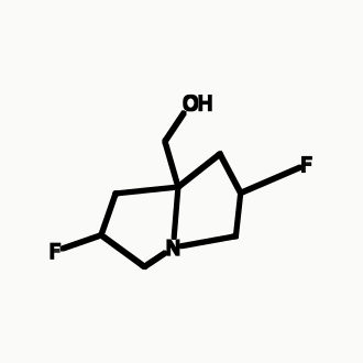 OCC12CC(F)CN1CC(F)C2